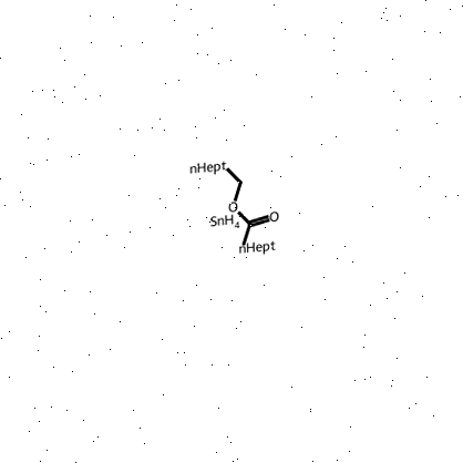 CCCCCCCCOC(=O)CCCCCCC.[SnH4]